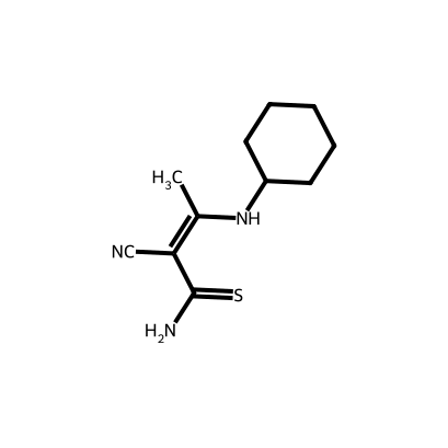 C/C(NC1CCCCC1)=C(\C#N)C(N)=S